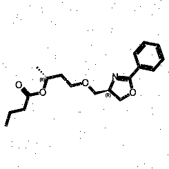 CCCC(=O)O[C@H](C)CCOC[C@@H]1COC(c2ccccc2)=N1